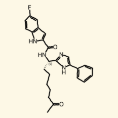 CC(=O)CCCCC[C@H](NC(=O)c1cc2cc(F)ccc2[nH]1)c1ncc(-c2ccccc2)[nH]1